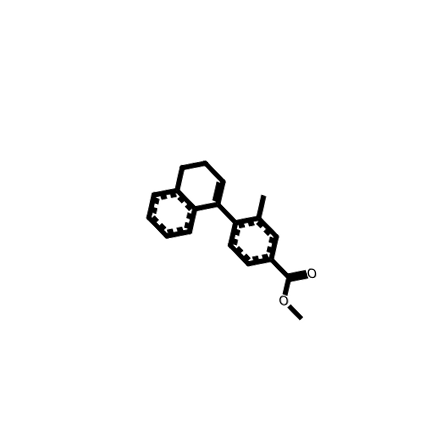 COC(=O)c1ccc(C2=CCCc3ccccc32)c(C)c1